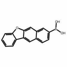 OB(O)c1ccc2cc3c(cc2c1)oc1ccccc13